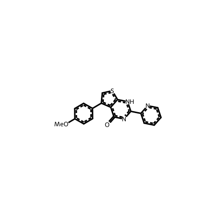 COc1ccc(-c2csc3[nH]c(-c4ccccn4)nc(=O)c23)cc1